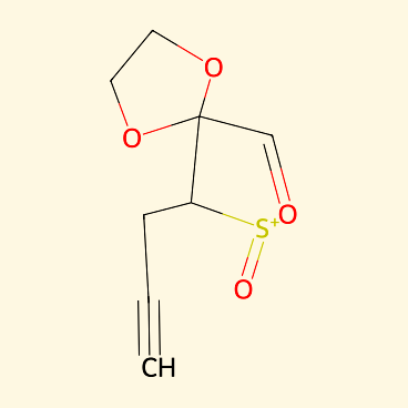 C#CCC([S+]=O)C1(C=O)OCCO1